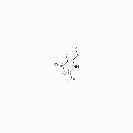 CCC(=O)O.CCCNCCC